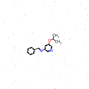 CC(C)Oc1cncc(N=Cc2ccccc2)c1